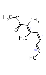 COC(=O)/C(C)=C(C)/C=C\C=N\O